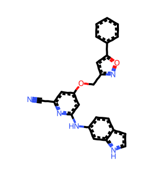 N#Cc1cc(OCc2cc(-c3ccccc3)on2)cc(Nc2ccc3cc[nH]c3c2)n1